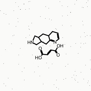 C1=CN=C2CC3CNCC3CC2C1.O=C(O)C=CC(=O)O